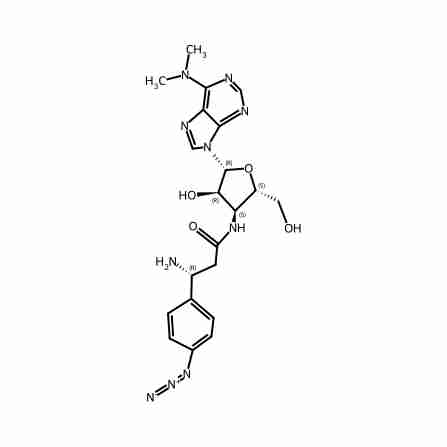 CN(C)c1ncnc2c1ncn2[C@@H]1O[C@H](CO)[C@@H](NC(=O)C[C@@H](N)c2ccc(N=[N+]=[N-])cc2)[C@H]1O